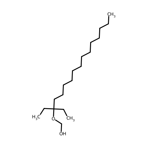 CCCCCCCCCCCCCC(CC)(CC)OCO